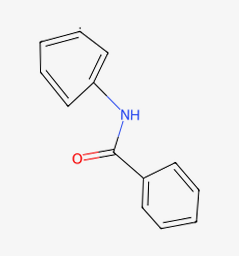 O=C(Nc1c[c]ccc1)c1ccccc1